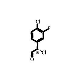 O=C[C@@H](Cl)c1ccc(Cl)c(F)c1